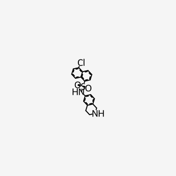 O=S(=O)(Nc1ccc2c(c1)CCNC2)c1cccc2c(Cl)cccc12